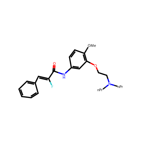 CCCN(CCC)CCOc1cc(NC(=O)C(F)=Cc2ccccc2)ccc1OC